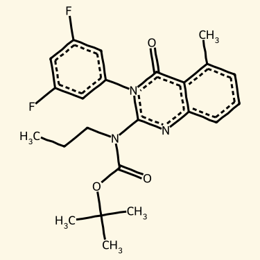 CCCN(C(=O)OC(C)(C)C)c1nc2cccc(C)c2c(=O)n1-c1cc(F)cc(F)c1